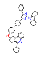 c1ccc(-c2cc(-c3ccc(-c4ccc5oc6ccc7c(-c8ccccc8)nc8ccccc8c7c6c5c4)cc3)nc(-n3c4ccccc4c4ccccc43)n2)cc1